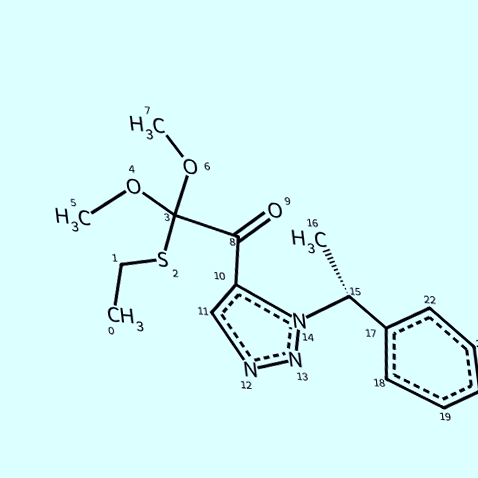 CCSC(OC)(OC)C(=O)c1cnnn1[C@H](C)c1ccccc1